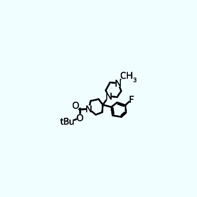 CN1CCN(C2(c3cccc(F)c3)CCN(C(=O)OC(C)(C)C)CC2)CC1